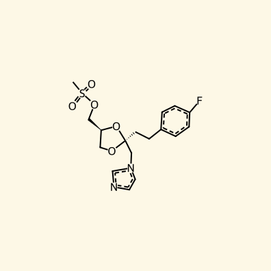 CS(=O)(=O)OC[C@@H]1CO[C@](CCc2ccc(F)cc2)(Cn2ccnc2)O1